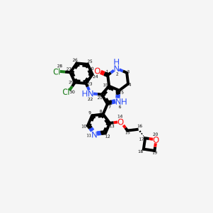 O=C1NCCc2[nH]c(-c3ccncc3OCC[C@H]3CCO3)c(Nc3cccc(Cl)c3Cl)c21